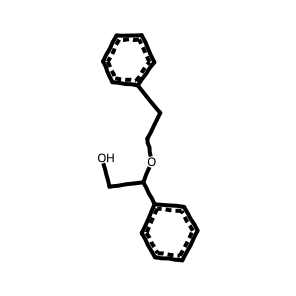 OCC(OCCc1ccccc1)c1ccccc1